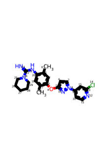 Cc1cc(Oc2ccn(-c3ccnc(Cl)c3)n2)c(C)cc1NC(=N)N1CCCCC1